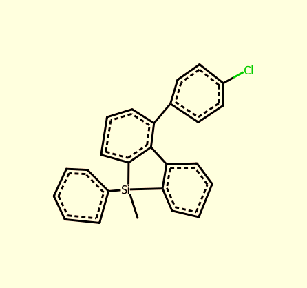 C[Si]1(c2ccccc2)c2ccccc2-c2c(-c3ccc(Cl)cc3)cccc21